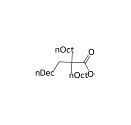 CCCCCCCCCCCC(CCCCCCCC)(CCCCCCCC)C([O])=O